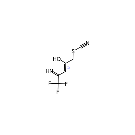 N#CSC/C(O)=C/C(=N)C(F)(F)F